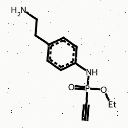 C#CP(=O)(Nc1ccc(CCN)cc1)OCC